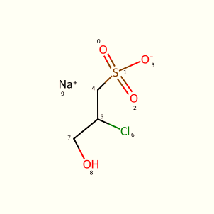 O=S(=O)([O-])CC(Cl)CO.[Na+]